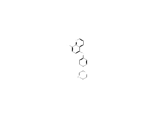 Brc1ccc(NC2=CCC([C@H]3CNCCO3)C=C2)c2cccnc12